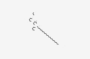 CCCC[C@H](CCC[C@H](O)[C@H](O)CCCCCCCCCCCCCC[C@H](O)C(=O)O)O[C@H]1OC[C@H](O)[C@@H](O)[C@@H]1O[C@H]1OC[C@H](O)[C@@H](O)[C@@H]1O[C@H]1O[C@@H](COC(=O)CC(C)C)[C@H](O)[C@@H](O)[C@@H]1O